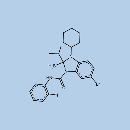 BC1(C(C)C)N(C(=O)Nc2ccccc2F)c2cc(Br)ccc2N1C1CCCCC1